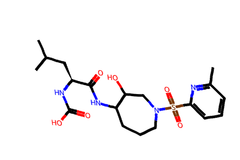 Cc1cccc(S(=O)(=O)N2CCCC(NC(=O)[C@H](CC(C)C)NC(=O)O)C(O)C2)n1